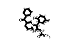 O=C(c1ccccc1)c1ccc2nc(NC(=O)C(F)(F)F)c(-c3cc(F)ccc3F)n2c1